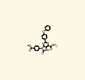 COC(=O)c1ccc(-n2c(=O)[nH]c3c(C(N)=O)nc(-c4ccc(Oc5ccccc5)cc4)nc32)cc1